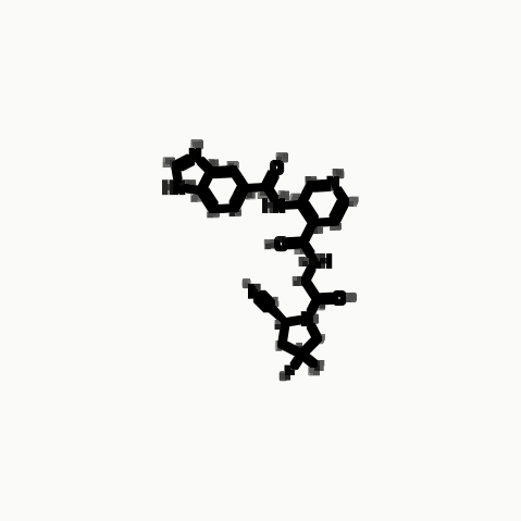 N#C[C@@H]1CC(F)(F)CN1C(=O)CNC(=O)c1ccncc1NC(=O)c1ccc2[nH]cnc2c1